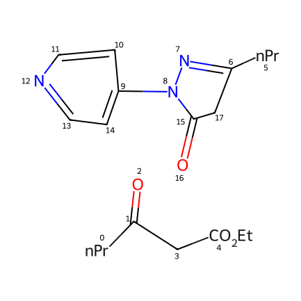 CCCC(=O)CC(=O)OCC.CCCC1=NN(c2ccncc2)C(=O)C1